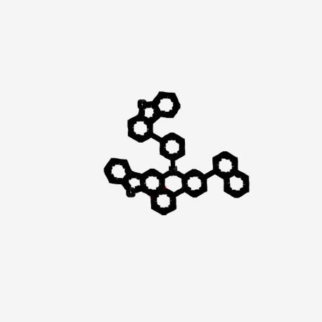 c1ccc(-c2ccc(-c3cccc4ccccc34)cc2N(c2cccc(-c3cccc4oc5ccccc5c34)c2)c2ccc3oc4ccccc4c3c2)cc1